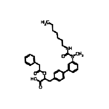 CCCCCCCNC(=O)N(C)c1cccc(-c2ccc(CC(OC(=O)Cc3ccccc3)C(=O)O)cc2)c1